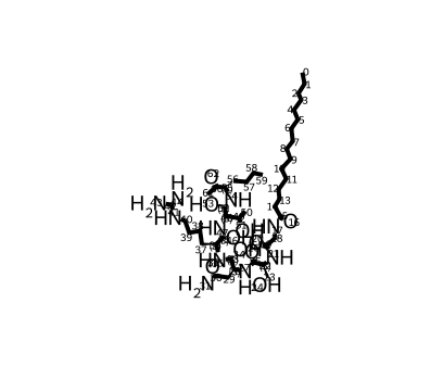 CCCCCCCCCCCCCCCC(=O)NCC(=O)N[C@@H](CO)C(=O)N[C@@H](CC(N)=O)[C@H](O)N[C@@H](CCCCNC(N)N)[C@H](O)N[C@@H](C(C)O)[C@H](O)N[C@@H](CCCC)C(C)=O